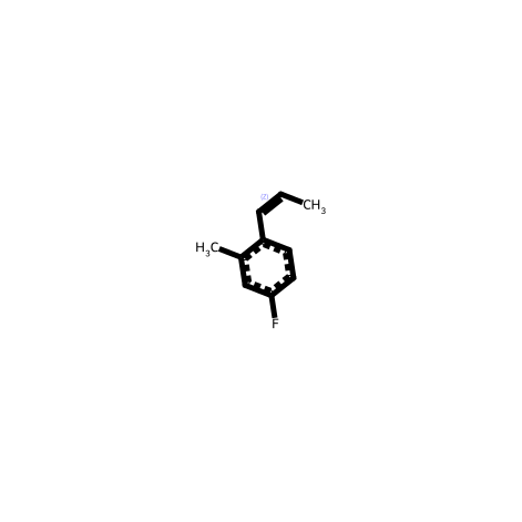 C/C=C\c1ccc(F)cc1C